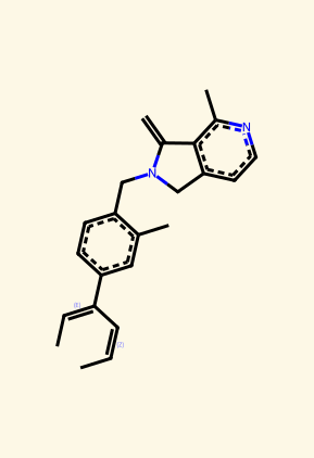 C=C1c2c(ccnc2C)CN1Cc1ccc(C(/C=C\C)=C/C)cc1C